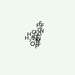 C[C@@H](Oc1ncc(C(F)(F)F)cc1Cl)c1nnc(-c2ccccc2C(F)(F)F)n1C